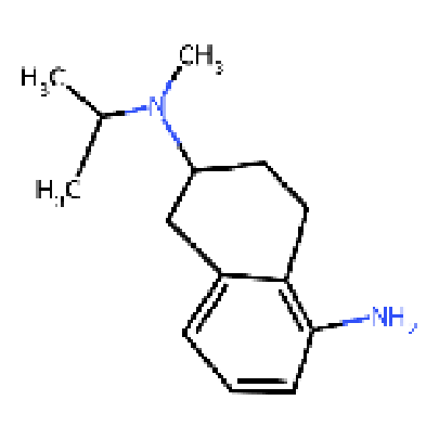 CC(C)N(C)C1CCc2c(N)cccc2C1